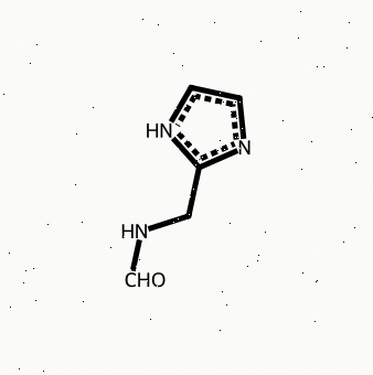 O=CNCc1ncc[nH]1